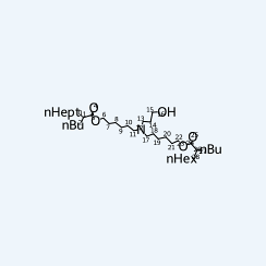 CCCCCCC[C@H](CCCC)C(=O)OCCCCCCN(CCCO)CCCCCCOC(=O)C(CCCC)CCCCCC